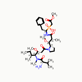 CC[C@H](C)[C@@H]([C@@H](CC(=O)N1CCC[C@H]1[C@H](OC)[C@@H](C)C(=O)N[C@@H](Cc1ccccc1)P(=O)(O)CC(=O)OC)OC)N(C)C(=O)[C@@H](N)C(C)C